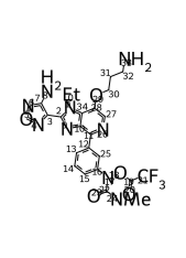 CCn1c(-c2nonc2N)nc2c(-c3cccc(N(OC(=O)C(F)(F)F)C(=O)NC)c3)ncc(OCCCN)c21